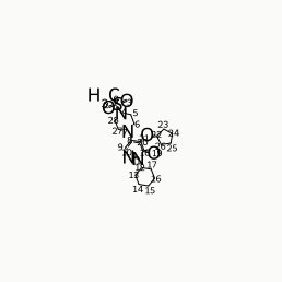 CS(=O)(=O)N1CCN(c2cnn(C3CCCCC3)c(=O)c2OC2CCCC2)CC1